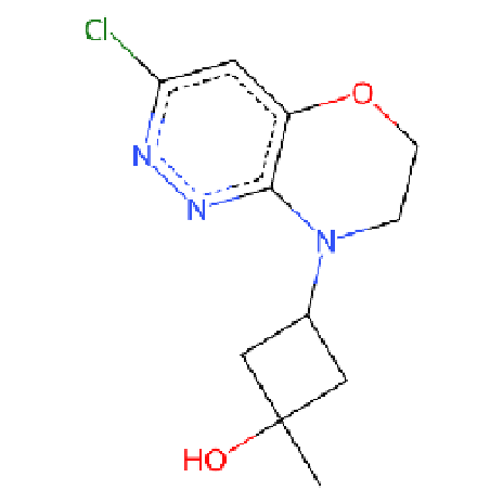 CC1(O)CC(N2CCOc3cc(Cl)nnc32)C1